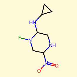 O=[N+]([O-])C1CN(F)C(NC2CC2)CN1